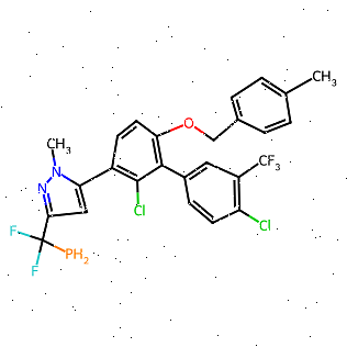 Cc1ccc(COc2ccc(-c3cc(C(F)(F)P)nn3C)c(Cl)c2-c2ccc(Cl)c(C(F)(F)F)c2)cc1